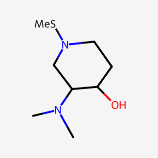 CSN1CCC(O)C(N(C)C)C1